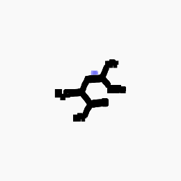 C=C(/C=C(/CCC)NC)C(=O)CCC